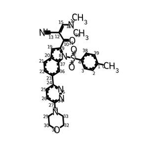 Cc1ccc(S(=O)(=O)n2c(C(=O)/C(C#N)=C\N(C)C)cc3ccc(-c4ccc(N5CCOCC5)nn4)cc32)cc1